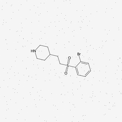 O=S(=O)(CCC1CCNCC1)c1ccccc1Br